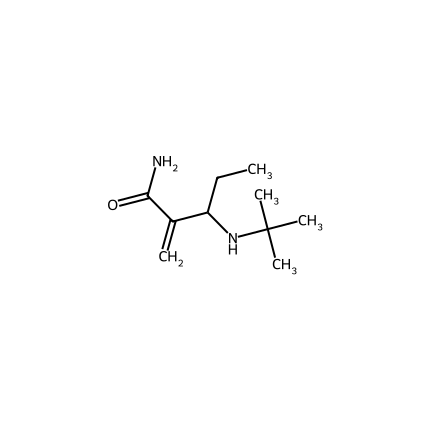 C=C(C(N)=O)C(CC)NC(C)(C)C